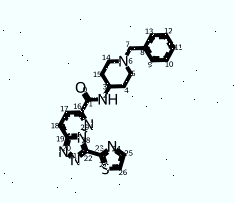 O=C(NC1CCN(Cc2ccccc2)CC1)c1ccc2nnc(-c3nccs3)n2n1